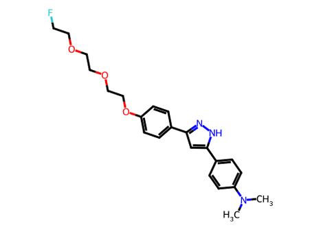 CN(C)c1ccc(-c2cc(-c3ccc(OCCOCCOCCF)cc3)n[nH]2)cc1